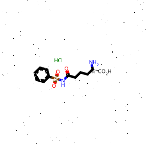 Cl.N[C@@H](CCCC(=O)NS(=O)(=O)c1ccccc1)C(=O)O